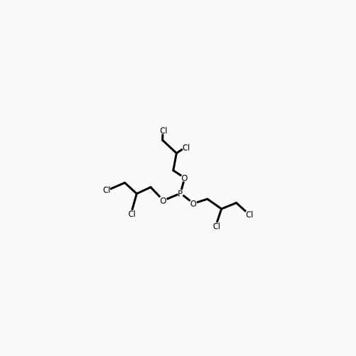 ClCC(Cl)COP(OCC(Cl)CCl)OCC(Cl)CCl